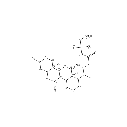 CC(CCC(=O)OC(CS(=O)(=O)O)(C(F)(F)F)C(F)(F)F)C1CCCC2C3C(=O)CC4CC(O)CCC4(C)C3CC(=O)C12C